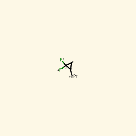 CC[CH]C1CC1(F)F